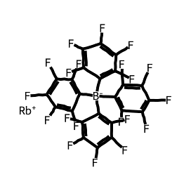 Fc1c(F)c(F)c([B-](c2c(F)c(F)c(F)c(F)c2F)(c2c(F)c(F)c(F)c(F)c2F)c2c(F)c(F)c(F)c(F)c2F)c(F)c1F.[Rb+]